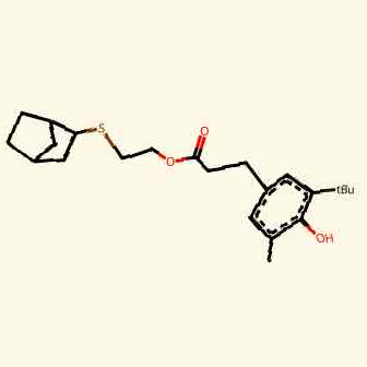 Cc1cc(CCC(=O)OCCSC2CC3CCC2C3)cc(C(C)(C)C)c1O